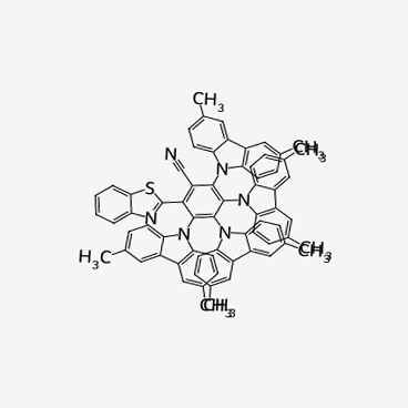 Cc1ccc2c(c1)c1cc(C)ccc1n2-c1c(C#N)c(-c2nc3ccccc3s2)c(-n2c3ccc(C)cc3c3cc(C)ccc32)c(-n2c3ccc(C)cc3c3cc(C)ccc32)c1-n1c2ccc(C)cc2c2cc(C)ccc21